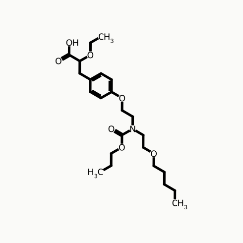 CCCCCOCCN(CCOc1ccc(CC(OCC)C(=O)O)cc1)C(=O)OCCC